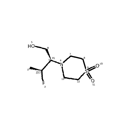 C[C@H](F)[C@@H](CO)N1CCS(=O)(=O)CC1